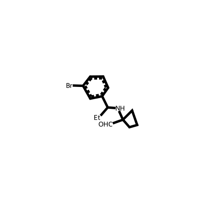 [CH2]CC(NC1(C=O)CCC1)c1cccc(Br)c1